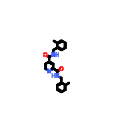 Cc1ccccc1CNC(=O)c1ccnc(C(=O)NCc2ccccc2C)c1